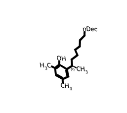 CCCCCCCCCCCCCCCC[C@@H](C)c1cc(C)cc(C)c1O